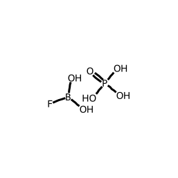 O=P(O)(O)O.OB(O)F